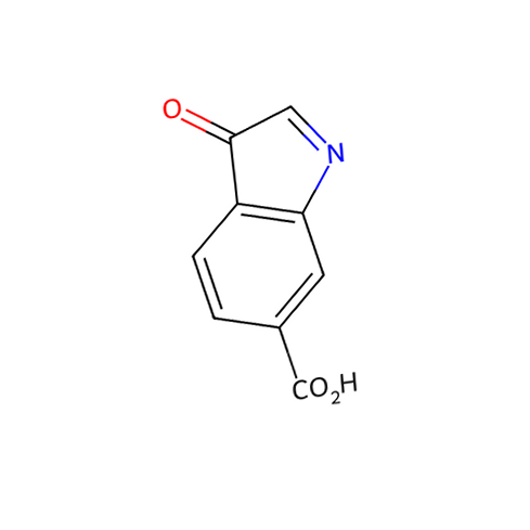 O=C(O)c1ccc2c(c1)N=CC2=O